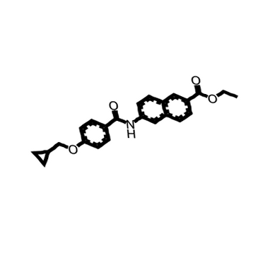 CCOC(=O)c1ccc2cc(NC(=O)c3ccc(OCC4CC4)cc3)ccc2c1